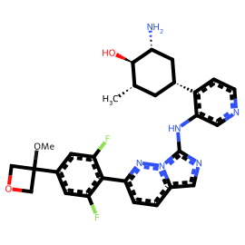 COC1(c2cc(F)c(-c3ccc4cnc(Nc5cnccc5[C@H]5C[C@@H](N)[C@H](O)[C@@H](C)C5)n4n3)c(F)c2)COC1